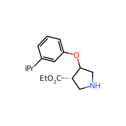 CCOC(=O)[C@H]1CNCC1Oc1cccc(C(C)C)c1